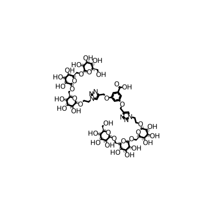 O=C(O)c1cc(OCc2cn(CCO[C@H]3O[C@H](CO[C@@H]4O[C@H](CO[C@@H]5O[C@H](CO)[C@@H](O)[C@H](O)[C@H]5O)[C@@H](O)[C@H](O)[C@H]4O)[C@@H](O)[C@H](O)[C@H]3O)nn2)cc(OCc2cn(CCO[C@H]3O[C@H](CO[C@@H]4O[C@H](CO[C@@H]5O[C@H](CO)[C@@H](O)[C@H](O)[C@H]5O)[C@@H](O)[C@H](O)[C@H]4O)[C@@H](O)[C@H](O)[C@H]3O)nn2)c1